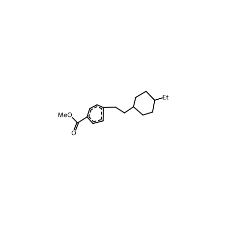 CCC1CCC(CCc2ccc(C(=O)OC)cc2)CC1